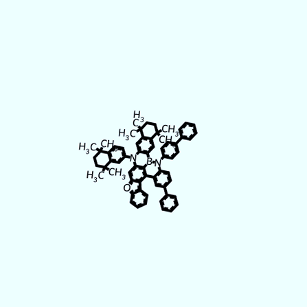 CC1(C)CCC(C)(C)c2cc(N3c4cc5c(cc4B4c6c3cc3oc7ccccc7c3c6-c3cc(-c6ccccc6)ccc3N4c3ccc(-c4ccccc4)cc3)C(C)(C)CCC5(C)C)ccc21